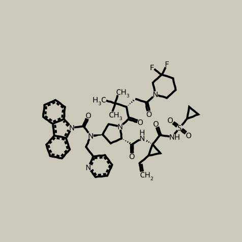 C=CC1C[C@]1(NC(=O)[C@@H]1C[C@@H](N(Cc2ccccn2)C(=O)n2c3ccccc3c3ccccc32)CN1C(=O)[C@@H](CC(=O)N1CCCC(F)(F)C1)C(C)(C)C)C(=O)NS(=O)(=O)C1CC1